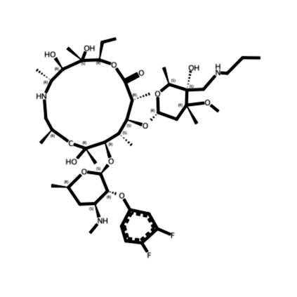 CCCNC[C@]1(O)[C@H](C)O[C@@H](O[C@H]2[C@H](C)[C@@H](O[C@@H]3O[C@H](C)C[C@H](NC)[C@H]3Oc3ccc(F)c(F)c3)[C@](C)(O)C[C@@H](C)CN[C@H](C)[C@@H](O)[C@](C)(O)[C@@H](CC)OC(=O)[C@@H]2C)C[C@@]1(C)OC